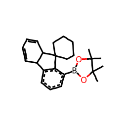 CC1(C)OB(c2cccc3c2C2(CCCCC2)C2C=CC=CC32)OC1(C)C